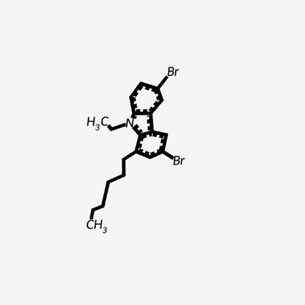 CCCCCCc1cc(Br)cc2c3cc(Br)ccc3n(CC)c12